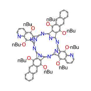 CCCCOc1c2c(c(OCCCC)c3cc4ccccc4cc13)-c1nc-2nc2[nH]c(nc3nc(nc4c5c(OCCCC)c6cccnc6c(OCCCC)c5c(n1)n4C)-c1c-3c(OCCCC)c3cc4ccccc4cc3c1OCCCC)c1c(OCCCC)c3ncccc3c(OCCCC)c21